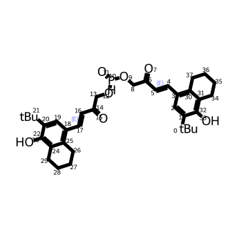 CC(C)(C)c1cc(/C=C/C(=O)CO[PH](=O)OCC(=O)/C=C/c2cc(C(C)(C)C)c(O)c3c2CCCC3)c2c(c1O)CCCC2